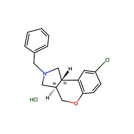 Cl.Clc1ccc2c(c1)[C@H]1CN(Cc3ccccc3)C[C@@H]1CO2